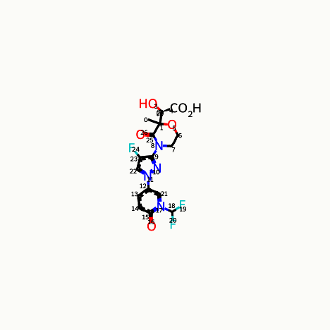 CC1([C@@H](O)C(=O)O)OCCN(c2nn(-c3ccc(=O)n(C(F)F)c3)cc2F)C1=O